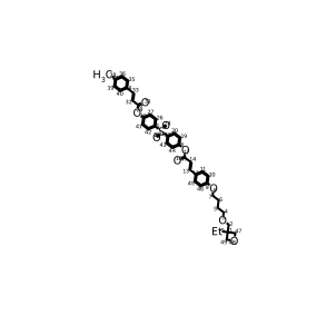 CCC1(COCCCCOc2ccc(/C=C/C(=O)Oc3ccc(S(=O)(=O)c4ccc(OC(=O)/C=C/c5ccc(C)cc5)cc4)cc3)cc2)COC1